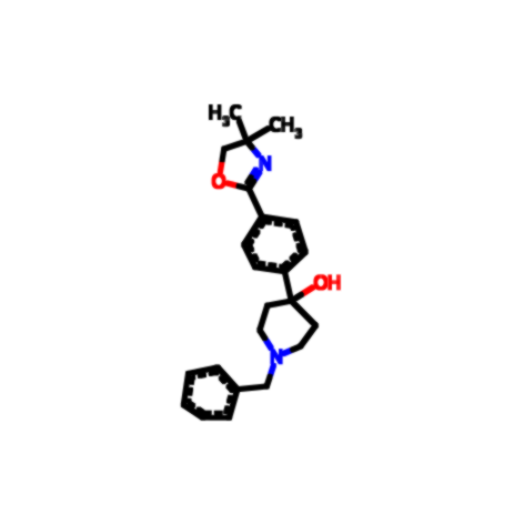 CC1(C)COC(c2ccc(C3(O)CCN(Cc4ccccc4)CC3)cc2)=N1